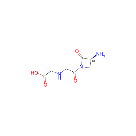 N[C@H]1CN(C(=O)CNCC(=O)O)C1=O